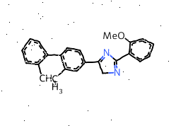 COc1ccccc1C1=NCC(c2ccc(-c3ccccc3C)c(C)c2)=N1